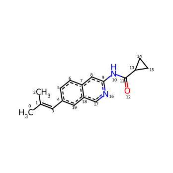 CC(C)=Cc1ccc2cc(NC(=O)C3CC3)ncc2c1